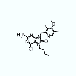 CCCCn1c(=O)n(Cc2ncc(C)c(OC)c2C)c2nc(N)nc(Cl)c21